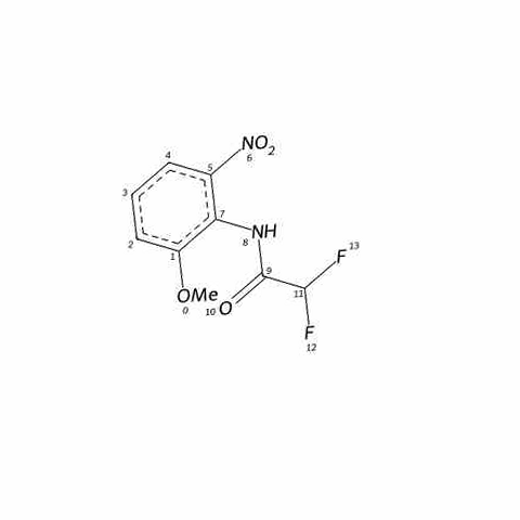 COc1cccc([N+](=O)[O-])c1NC(=O)C(F)F